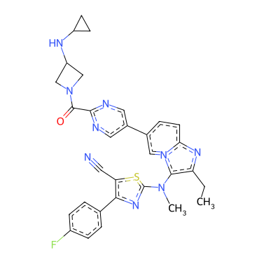 CCc1nc2ccc(-c3cnc(C(=O)N4CC(NC5CC5)C4)nc3)cn2c1N(C)c1nc(-c2ccc(F)cc2)c(C#N)s1